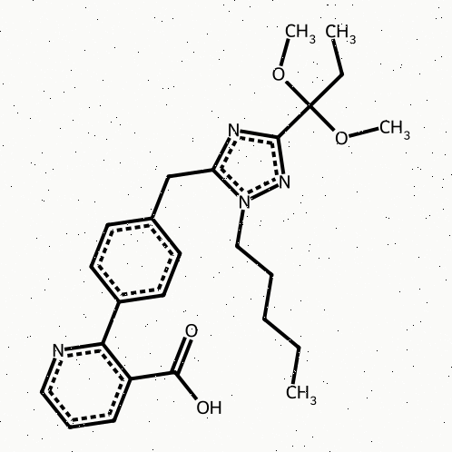 CCCCCn1nc(C(CC)(OC)OC)nc1Cc1ccc(-c2ncccc2C(=O)O)cc1